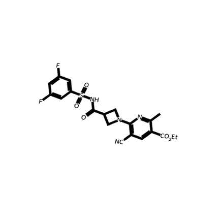 CCOC(=O)c1cc(C#N)c(N2CC(C(=O)NS(=O)(=O)c3cc(F)cc(F)c3)C2)nc1C